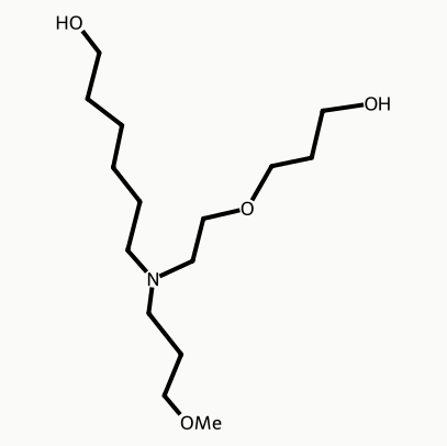 COCCCN(CCCCCCO)CCOCCCO